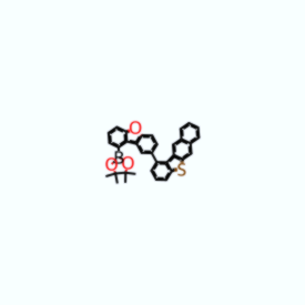 CC1(C)OB(c2cccc3oc4ccc(-c5cccc6sc7cc8ccccc8cc7c56)cc4c23)OC1(C)C